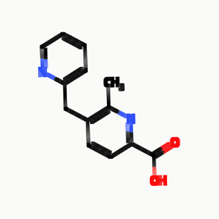 Cc1nc(C(=O)O)ccc1Cc1ccccn1